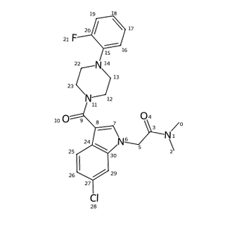 CN(C)C(=O)Cn1cc(C(=O)N2CCN(c3ccccc3F)CC2)c2ccc(Cl)cc21